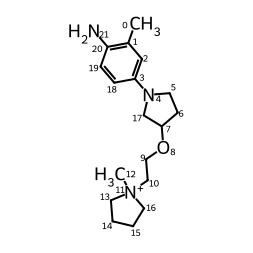 Cc1cc(N2CCC(OCC[N+]3(C)CCCC3)C2)ccc1N